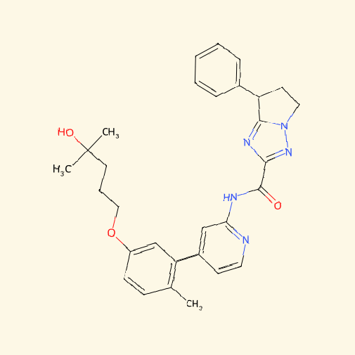 Cc1ccc(OCCCC(C)(C)O)cc1-c1ccnc(NC(=O)c2nc3n(n2)CCC3c2ccccc2)c1